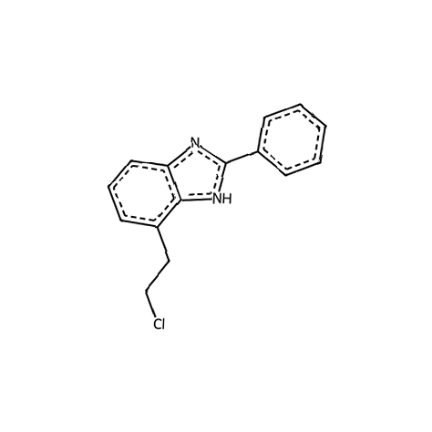 ClCCc1cccc2nc(-c3ccccc3)[nH]c12